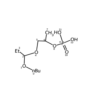 CCCCOC(CC)OCC(C)OP(=O)(O)O